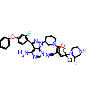 CC(C)(/C=C(/C#N)C(=O)N1CCCC(n2nc(-c3ccc(Oc4ccccc4)cc3F)c3c(N)ncnc32)C1)N1CCNCC1